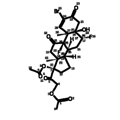 CC(=O)OCC(=O)[C@]1(OC(C)=O)CC[C@H]2[C@@H]3C[C@@H](F)[C@@]4(O)CC(=O)C(Br)=C[C@]4(C)[C@@]3(F)C(=O)C[C@@]21C